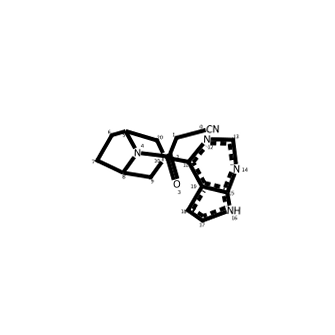 N#CCC(=O)N1C2CCC1CN(c1ncnc3[nH]ccc13)C2